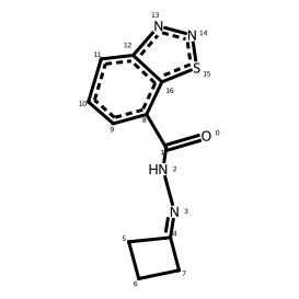 O=C(NN=C1CCC1)c1cccc2nnsc12